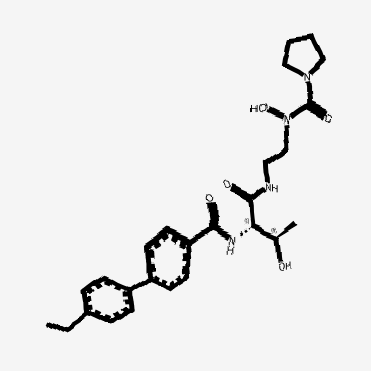 CCc1ccc(-c2ccc(C(=O)N[C@H](C(=O)NCCN(O)C(=O)N3CCCC3)[C@@H](C)O)cc2)cc1